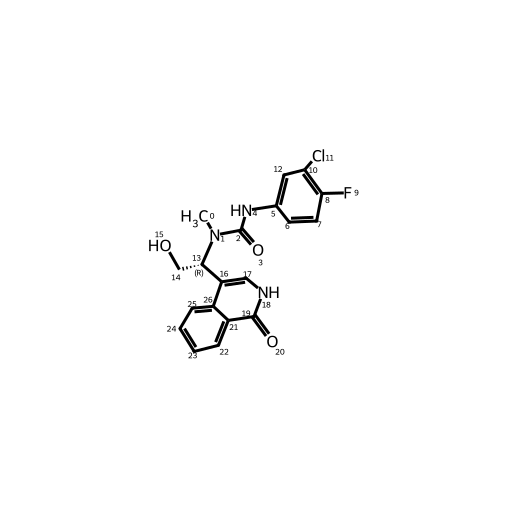 CN(C(=O)Nc1ccc(F)c(Cl)c1)[C@@H](CO)c1c[nH]c(=O)c2ccccc12